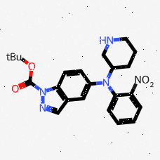 CC(C)(C)OC(=O)n1ncc2cc(N(c3ccccc3[N+](=O)[O-])C3CCCNC3)ccc21